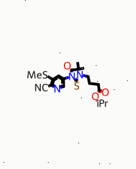 CSc1cc(N2C(=O)C(C)(C)N(CCCC(=O)OC(C)C)C2=S)cnc1C#N